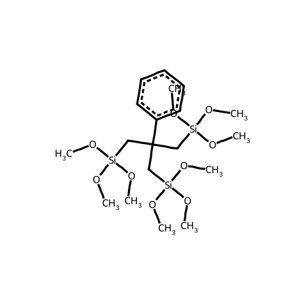 CO[Si](CC(C[Si](OC)(OC)OC)(C[Si](OC)(OC)OC)c1ccccc1)(OC)OC